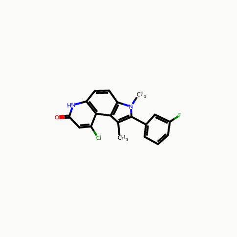 Cc1c(-c2cccc(F)c2)n(C(F)(F)F)c2ccc3[nH]c(=O)cc(Cl)c3c12